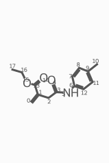 C=C(CC(=O)Nc1ccc(C)cc1)C(=O)OCC